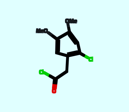 COc1cc(Cl)c(CC(=O)Cl)cc1OC